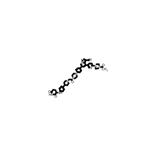 CC(=O)N1CCN(c2ccc(-c3cc(-c4ccc(N5CCN(C(=O)CN6CCC(c7ccc(NC8CCC(=O)NC8=O)cc7)CC6)CC5)cc4)cn4ncc(C#N)c34)cn2)CC1